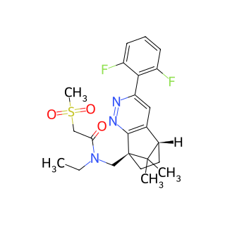 CCN(C[C@@]12CC[C@@H](c3cc(-c4c(F)cccc4F)nnc31)C2(C)C)C(=O)CS(C)(=O)=O